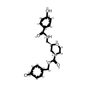 O=C(NC[C@@H]1CN(C(=O)OCc2ccc(Cl)cc2)CCO1)c1ccc(O)cc1